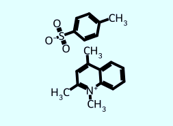 Cc1cc(C)[n+](C)c2ccccc12.Cc1ccc(S(=O)(=O)[O-])cc1